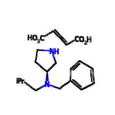 CC(C)CN(Cc1ccccc1)[C@H]1CCNC1.O=C(O)C=CC(=O)O